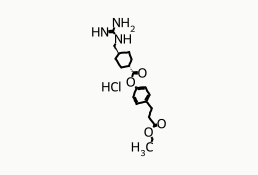 CCOC(=O)CCc1ccc(OC(=O)[C@H]2CC[C@H](CNC(=N)N)CC2)cc1.Cl